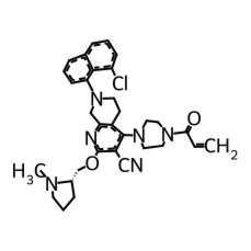 C=CC(=O)N1CCN(c2c(C#N)c(OC[C@@H]3CCCN3C)nc3c2CCN(c2cccc4cccc(Cl)c24)C3)CC1